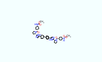 COC(=O)N[C@H]1CC[C@H](C(=O)N2CCC[C@H]2c2ncc(-c3ccc(C4=CCC(c5cnc([C@@H]6CCCN6C(=O)[C@H]6CC[C@H](NC(=O)OC)CC6)[nH]5)C=C4)cc3)[nH]2)CC1